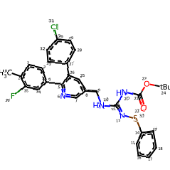 Cc1ccc(-c2ncc(CN/C(=N/Sc3ccccc3)NC(=O)OC(C)(C)C)cc2-c2ccc(Cl)cc2)cc1F